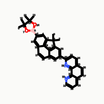 CC1(C)c2cc(B3OC(C)(C)C(C)(C)O3)cc3ccc4cc(-c5ccc6ccc7cccnc7c6n5)cc1c4c23